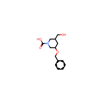 O=C(O)N1CC(CO)CC(OCc2ccccc2)C1